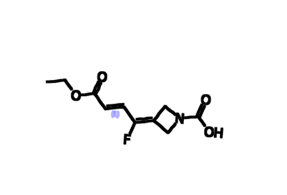 CCOC(=O)/C=C/C(F)=C1CN(C(=O)O)C1